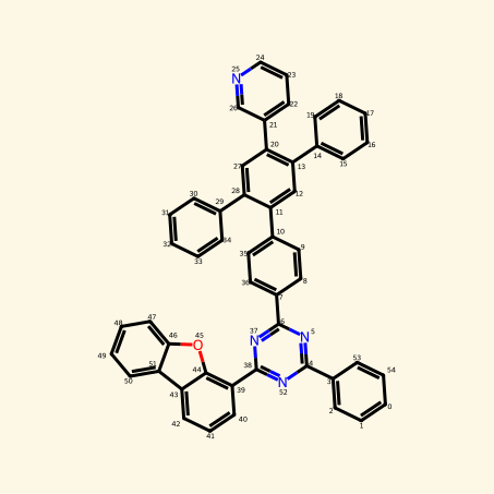 c1ccc(-c2nc(-c3ccc(-c4cc(-c5ccccc5)c(-c5cccnc5)cc4-c4ccccc4)cc3)nc(-c3cccc4c3oc3ccccc34)n2)cc1